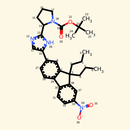 CCCC1(CCC)c2cc(-c3cnc(C4CCCN4C(=O)OC(C)(C)C)[nH]3)ccc2-c2ccc([N+](=O)[O-])cc21